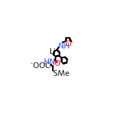 CSCC[C@H](NC(=O)c1ccc(CNCc2ccco2)cc1-c1ccccc1)C(=O)[O-].[Li+]